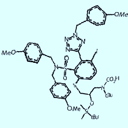 COc1ccc(CN(Cc2ccc(OC)cc2)S(=O)(=O)c2c(SCC(CN(C(=O)O)C(C)(C)C)O[Si](C)(C)C(C)(C)C)ccc(I)c2-c2nnn(Cc3ccc(OC)cc3)n2)cc1